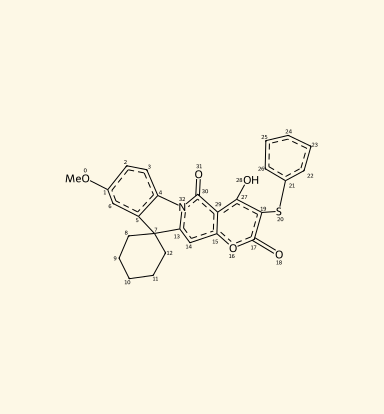 COc1ccc2c(c1)C1(CCCCC1)c1cc3oc(=O)c(Sc4ccccc4)c(O)c3c(=O)n1-2